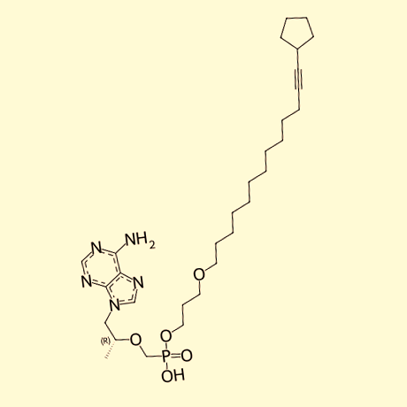 C[C@H](Cn1cnc2c(N)ncnc21)OCP(=O)(O)OCCCOCCCCCCCCCCCC#CC1CCCC1